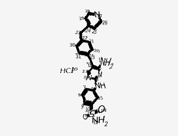 Cl.Nc1nc(Nc2cccc(S(N)(=O)=O)c2)ncc1-c1ccc(Cc2ccncc2)cc1